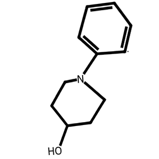 OC1CCN(c2[c]cccc2)CC1